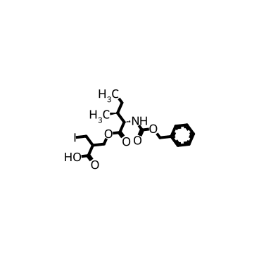 CC[C@H](C)[C@H](NC(=O)OCc1ccccc1)C(=O)OCC(CI)C(=O)O